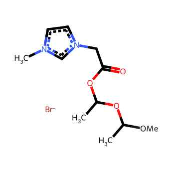 COC(C)OC(C)OC(=O)Cn1cc[n+](C)c1.[Br-]